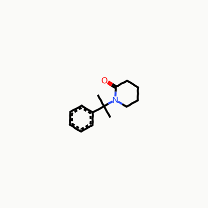 CC(C)(c1ccccc1)N1CCCCC1=O